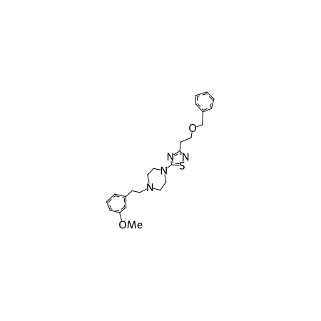 COc1cccc(CCN2CCN(c3nc(CCOCc4ccccc4)ns3)CC2)c1